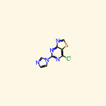 Clc1nc(-n2ccnc2)nc2ncsc12